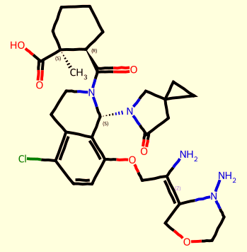 C[C@]1(C(=O)O)CCCC[C@H]1C(=O)N1CCc2c(Cl)ccc(OC/C(N)=C3\COCCN3N)c2[C@H]1N1CC2(CC2)CC1=O